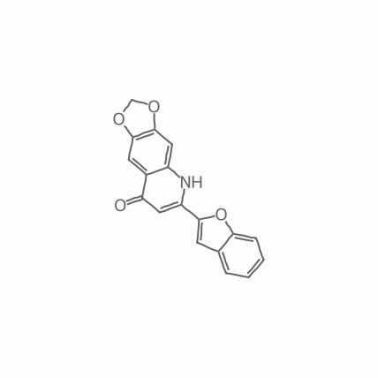 O=c1cc(-c2cc3ccccc3o2)[nH]c2cc3c(cc12)OCO3